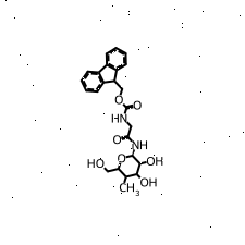 CC1C(CO)O[C@@H](NC(=O)CNC(=O)OCC2c3ccccc3-c3ccccc32)C(O)C1O